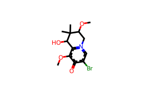 COc1c2n(cc(Br)c1=O)CC(OC)C(C)(C)C2O